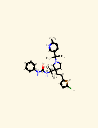 Cc1ccc(C(C)(C)N2CCC(CCc3ccc(F)s3)(C(C)(NC(=O)Nc3ccccc3)C(F)(F)F)C2)cn1